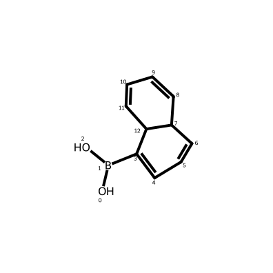 OB(O)C1=CC=CC2C=CC=CC12